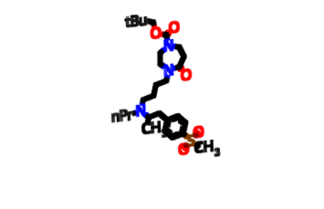 CCCN(CCCCN1CCN(C(=O)OCC(C)(C)C)CCC1=O)C(C)Cc1ccc(S(C)(=O)=O)cc1